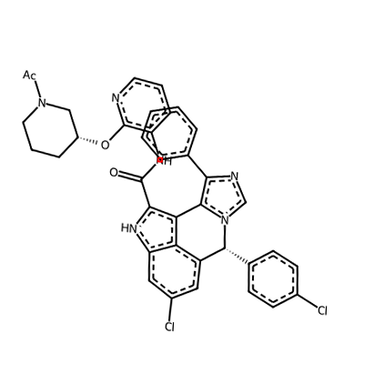 CC(=O)N1CCC[C@@H](Oc2ncccc2NC(=O)c2[nH]c3cc(Cl)cc4c3c2-c2c(-c3ccccc3)ncn2[C@@H]4c2ccc(Cl)cc2)C1